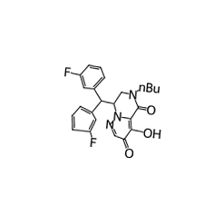 CCCCN1CC(C(c2cccc(F)c2)c2cccc(F)c2)n2ncc(=O)c(O)c2C1=O